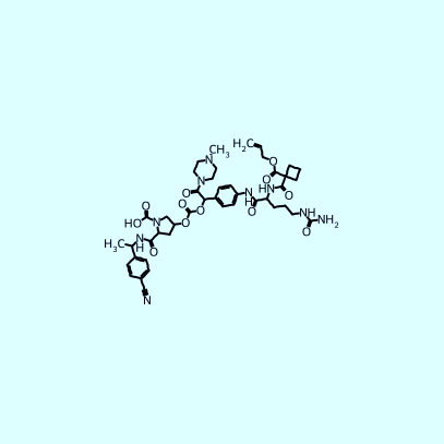 C=CCOC(=O)C1(C(=O)NC(CCCNC(N)=O)C(=O)Nc2ccc(C(OC(=O)OC3CC(C(=O)NC(C)c4ccc(C#N)cc4)N(C(=O)O)C3)C(=O)N3CCN(C)CC3)cc2)CCC1